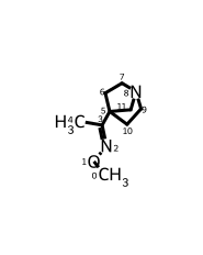 CON=C(C)C12CCN(CC1)C2